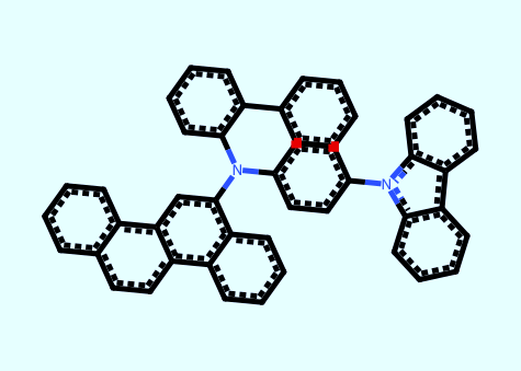 c1ccc(-c2ccccc2N(c2ccc(-n3c4ccccc4c4ccccc43)cc2)c2cc3c4ccccc4ccc3c3ccccc23)cc1